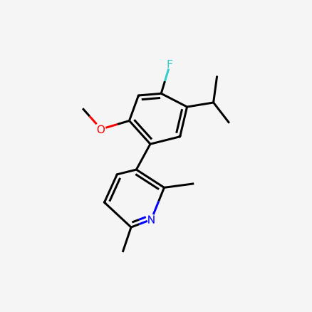 COc1cc(F)c(C(C)C)cc1-c1ccc(C)nc1C